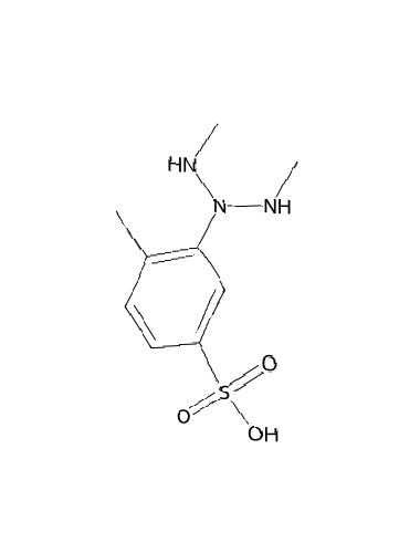 CNN(NC)c1cc(S(=O)(=O)O)ccc1C